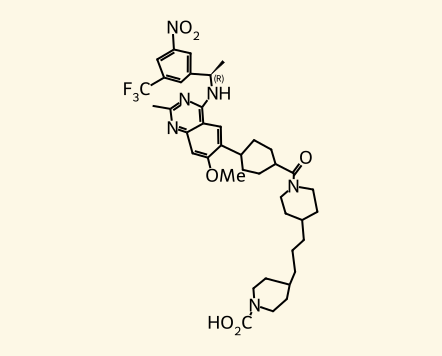 COc1cc2nc(C)nc(N[C@H](C)c3cc([N+](=O)[O-])cc(C(F)(F)F)c3)c2cc1C1CCC(C(=O)N2CCC(CCCC3CCN(C(=O)O)CC3)CC2)CC1